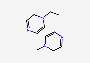 CCN1C=CN=CC1.CN1C=CN=CC1